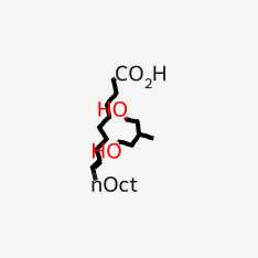 CC(CCO)CCO.CCCCCCCCC=CCCCCCCCC(=O)O